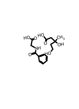 CC(O)(CCO)CC(=O)O.O=C(O)CNC(=O)c1ccccc1